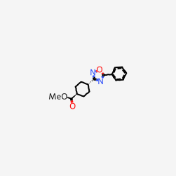 COC(=O)[C@H]1CC[C@H](c2noc(-c3ccccc3)n2)CC1